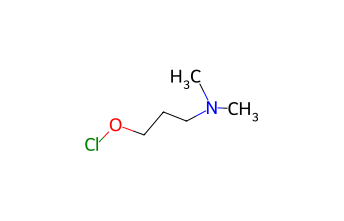 CN(C)CCCOCl